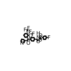 O=C(NS(=O)(=O)c1ccc(F)cc1)c1ccc(N(C(=O)c2cccnc2)c2cccc(OC(F)F)c2OC(F)F)cc1